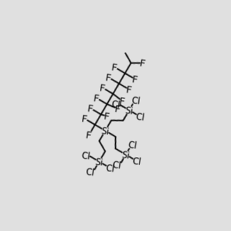 CC(F)C(F)(F)C(F)(F)C(F)(F)C(F)(F)C(F)(F)C(F)(F)[Si](CC[Si](Cl)(Cl)Cl)(CC[Si](Cl)(Cl)Cl)CC[Si](Cl)(Cl)Cl